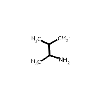 [CH2]C(C)C(C)N